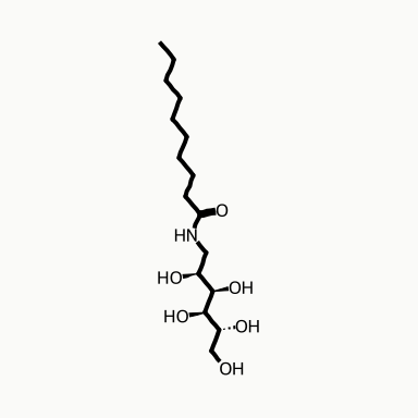 CCCCCCCCCC(=O)NC[C@H](O)[C@@H](O)[C@H](O)[C@H](O)CO